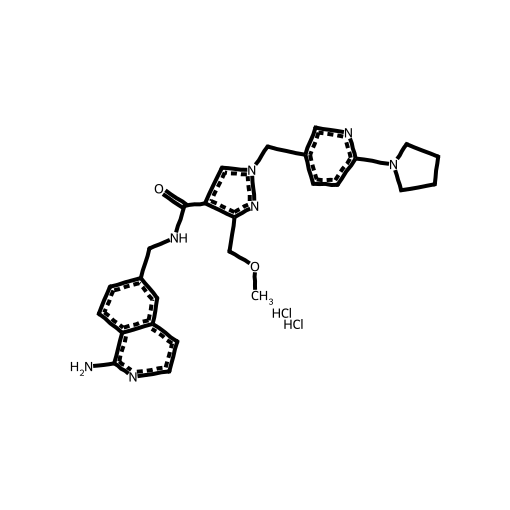 COCc1nn(Cc2ccc(N3CCCC3)nc2)cc1C(=O)NCc1ccc2c(N)nccc2c1.Cl.Cl